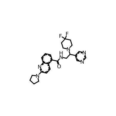 O=C(NCC(c1cncnc1)N1CCC(F)(F)CC1)c1cccc2nc(N3CCCC3)ccc12